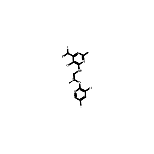 Cc1nc(NC[C@H](C)Oc2ncc(Cl)cc2Cl)c(Cl)c(C(F)F)n1